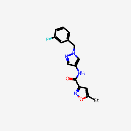 CCc1cc(C(=O)Nc2cnn(Cc3cccc(F)c3)c2)no1